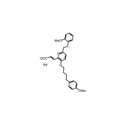 COc1ccc(CCCCOc2ccc(CSc3ccccc3OC)nc2C=CC(=O)[O-])cc1.[Na+]